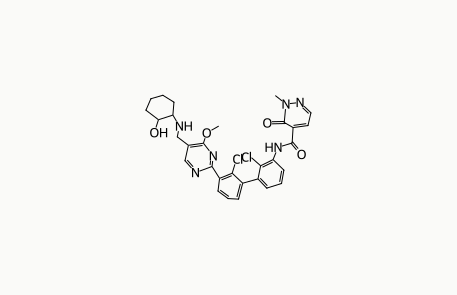 COc1nc(-c2cccc(-c3cccc(NC(=O)c4ccnn(C)c4=O)c3Cl)c2Cl)ncc1CNC1CCCCC1O